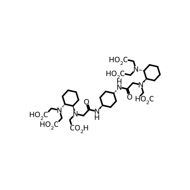 O=C(O)CN(CC(=O)O)[C@@H]1CCCC[C@H]1N(CC(=O)O)CC(=O)N[C@H]1CC[C@H](NC(=O)CN(CC(=O)O)[C@@H]2CCCC[C@H]2N(CC(=O)O)CC(=O)O)CC1